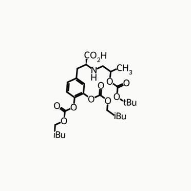 CCC(C)COC(=O)Oc1ccc(C[C@H](NCC(C)OC(=O)OC(C)(C)C)C(=O)O)cc1OC(=O)OCC(C)CC